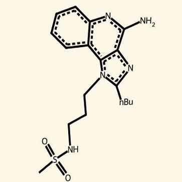 CCCCc1nc2c(N)nc3ccccc3c2n1CCCNS(C)(=O)=O